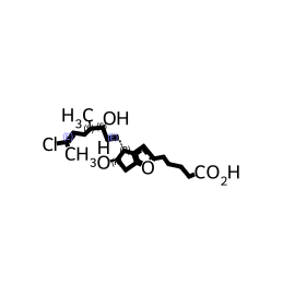 C/C(Cl)=C\C[C@H](C)[C@H](O)/C=C/[C@@H]1c2cc(CCCCC(=O)O)oc2C[C@H]1O